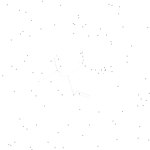 C=C/C(=C(/C)I)N(C)NC